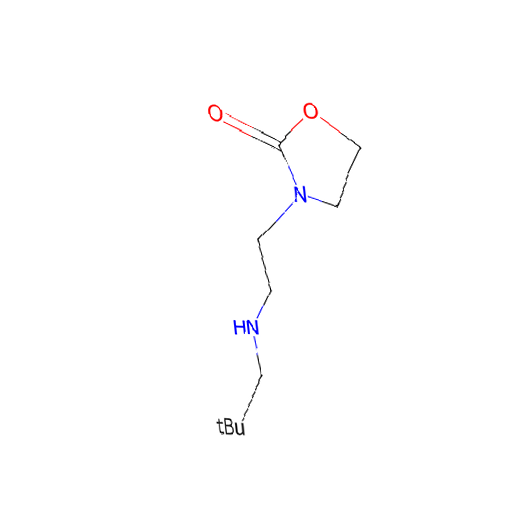 CC(C)(C)CNCCN1CCOC1=O